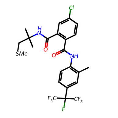 CSCC(C)(C)NC(=O)c1cc(Cl)ccc1C(=O)Nc1ccc(C(F)(C(F)(F)F)C(F)(F)F)cc1C